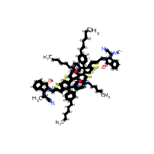 [C-]#[N+]/C(C#N)=C1/C(=C/c2cc3c(s2)-c2sc4c5nsnc5c5c6c7c(sc6c6nsnc6c5c4c2C3(c2ccc(CCCCCC)cc2)c2ccc(CCCCCC)cc2)-c2sc(/C=C3\C(=O)c4ccccc4\C3=C(/C)C#N)cc2C7(c2ccc(CCCCCC)cc2)c2ccc(CCCCCC)cc2)C(=O)c2ccccc21